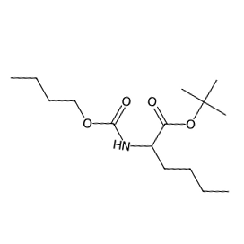 CCCCOC(=O)NC(CCCC)C(=O)OC(C)(C)C